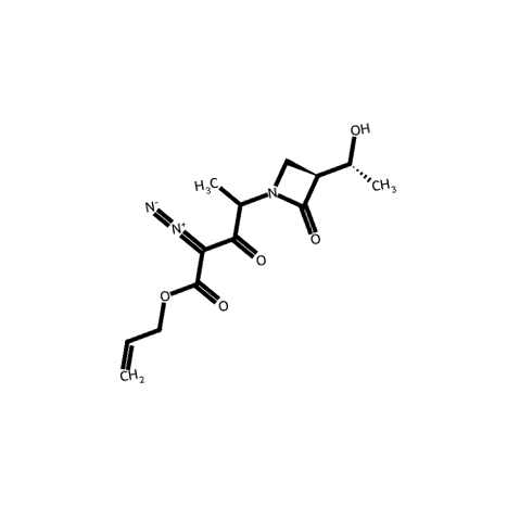 C=CCOC(=O)C(=[N+]=[N-])C(=O)C(C)N1C[C@@H]([C@@H](C)O)C1=O